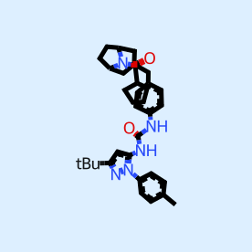 Cc1ccc(-n2nc(C(C)(C)C)cc2NC(=O)Nc2ccc(CC3CC4CCC(C3)N4C(=O)C3CCCC3)cc2)cc1